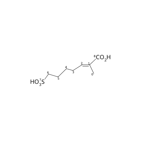 CC(=CCCCCS(=O)(=O)O)C(=O)O